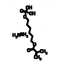 C=C(C)C(=O)OCCCCCCOP(=O)(O)O.N.N